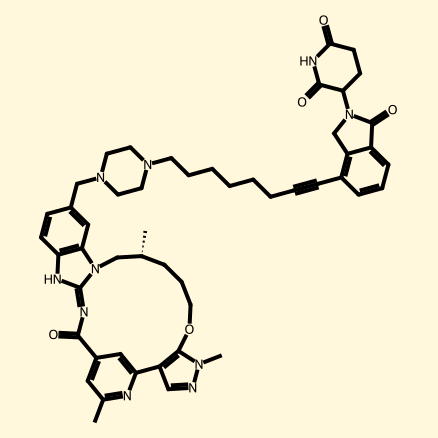 Cc1cc2cc(n1)-c1cnn(C)c1OCCC[C@@H](C)CN1/C(=N/C2=O)Nc2ccc(CN3CCN(CCCCCCC#Cc4cccc5c4CN(C4CCC(=O)NC4=O)C5=O)CC3)cc21